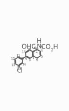 O=C[C@]1(NC(=O)O)C=CCc2cc(-c3cccc(Cl)c3)ccc21